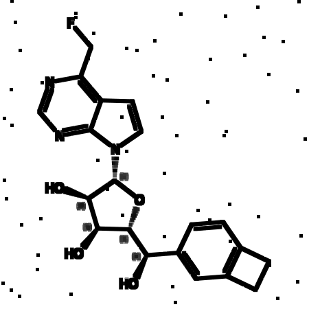 O[C@@H]1[C@H](O)[C@@H]([C@H](O)c2ccc3c(c2)CC3)O[C@H]1n1ccc2c(CF)ncnc21